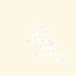 COC(=O)c1cc(OC)c(Cc2c(OC)cc(C(=O)OC)cc2OC)c(OC)c1